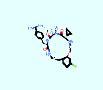 C[C@H]1C(=O)N[C@H](Cc2ccc(C(=N)N)cc2)C(=O)NCCCc2ccc(F)cc2OCCN[C@@H](C2CC2)C(=O)N1C